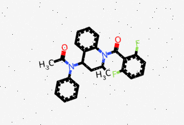 CC(=O)N(c1ccccc1)C1CC(C)N(C(=O)c2c(F)cccc2F)c2ccccc21